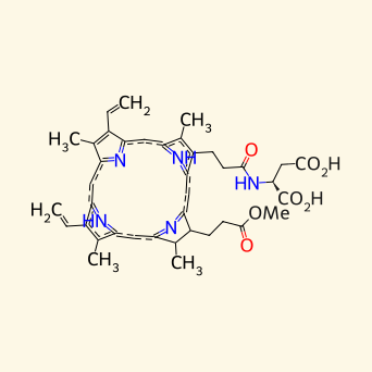 C=CC1=C(C)c2cc3[nH]c(cc4nc(cc5[nH]c(cc1n2)c(C)c5CCC(=O)N[C@@H](CC(=O)O)C(=O)O)C(CCC(=O)OC)C4C)c(C)c3C=C